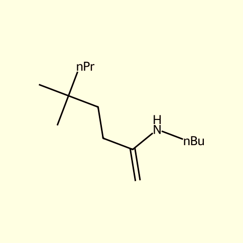 C=C(CCC(C)(C)CCC)NCCCC